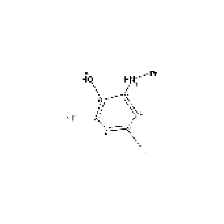 CC(C)Nc1cc(F)cc(F)c1O